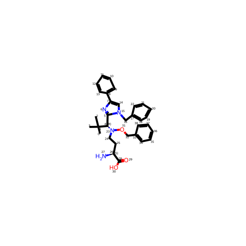 CC(C)(C)[C@H](c1nc(-c2ccccc2)cn1Cc1ccccc1)N(CC[C@H](N)C(=O)O)OCc1ccccc1